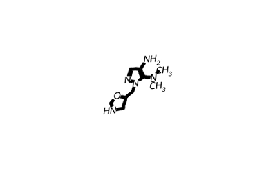 CN(C)c1c(N)cnn1CC1CNCO1